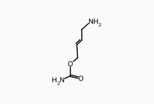 NCC=CCOC(N)=O